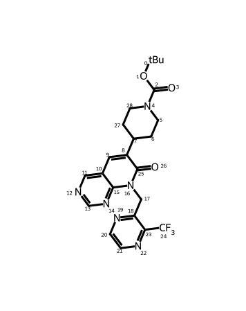 CC(C)(C)OC(=O)N1CCC(c2cc3cncnc3n(Cc3nccnc3C(F)(F)F)c2=O)CC1